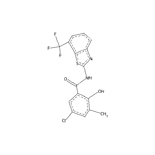 Cc1cc(Cl)cc(C(=O)Nc2nc3cccc(C(F)(F)F)c3s2)c1O